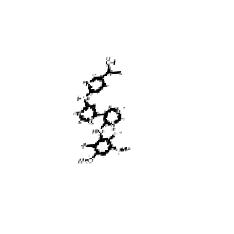 COc1cc(OC)c(F)c(Nc2ncncc2-c2cc(Nc3ccc(C(C)O)cn3)ncn2)c1F